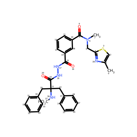 Cc1csc(CN(C)C(=O)c2cccc(C(=O)NNC(=O)C(Cc3ccccc3)(Cc3ccccc3)NC(=O)O)c2)n1